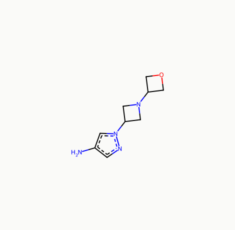 Nc1cnn(C2CN(C3COC3)C2)c1